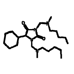 CCCCCN(C)CN1C(=O)C(C2CCCCC2)N(CN(C)CCCCC)C1=O